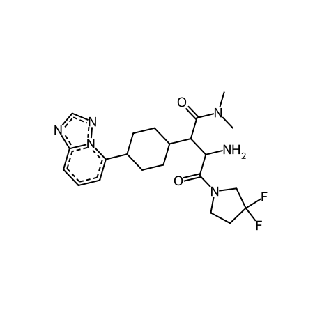 CN(C)C(=O)C(C1CCC(c2cccc3ncnn23)CC1)C(N)C(=O)N1CCC(F)(F)C1